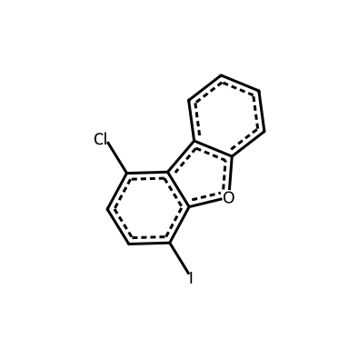 Clc1ccc(I)c2oc3ccccc3c12